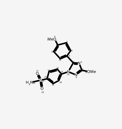 COc1ccc(-c2nc(OC)nn2-c2ccc(S(N)(=O)=O)cc2)cc1